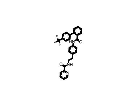 O=C(NCCc1ccc(NC(=O)c2ccccc2-c2ccc(C(F)(F)F)cc2)cc1)c1ccccn1